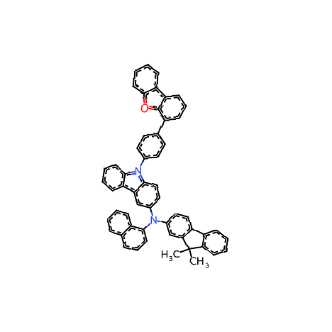 CC1(C)c2ccccc2-c2ccc(N(c3ccc4c(c3)c3ccccc3n4-c3ccc(-c4cccc5c4oc4ccccc45)cc3)c3cccc4ccccc34)cc21